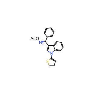 CC(=O)O/N=C(\c1ccccc1)c1cn(-c2cccs2)c2ccccc12